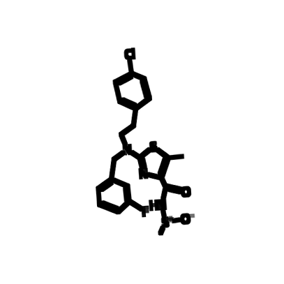 Cc1sc(N(CCc2ccc(Cl)cc2)Cc2cccc(F)c2)nc1C(=O)N[S+](C)[O-]